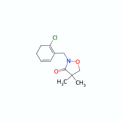 CC1(C)CON(CC2=C(Cl)CCC=C2)C1=O